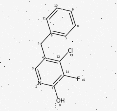 Oc1ncc(Cc2ccccc2)c(Cl)c1F